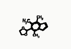 Cc1c(C)c(C2OCCO2)c(C)c2c1C=C=C2